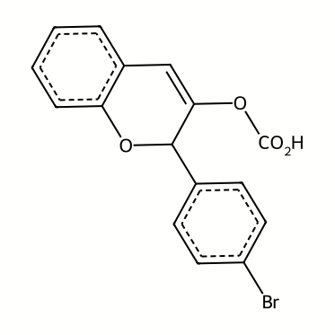 O=C(O)OC1=Cc2ccccc2OC1c1ccc(Br)cc1